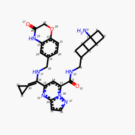 NC12C3C4C1C1C2C3C41CNC(=O)c1cc(C(NCc2ccc3c(c2)NC(=O)CO3)=C2CC2)nc2ccnn12